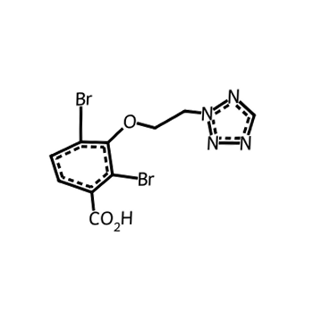 O=C(O)c1ccc(Br)c(OCCn2ncnn2)c1Br